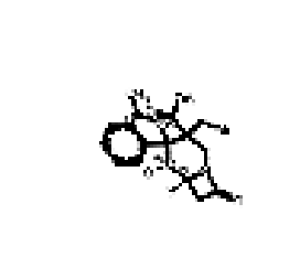 CC(=O)NC1(c2ccccc2)[S@@+]([O-])[C@@H]2CC(=O)N2CC1(CBr)C(=O)O